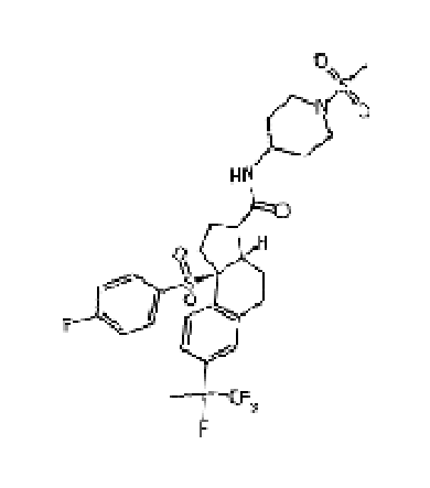 CC(F)(c1ccc2c(c1)CC[C@H]1[C@H](C(=O)NC3CCN(S(C)(=O)=O)CC3)CC[C@@]21S(=O)(=O)c1ccc(F)cc1)C(F)(F)F